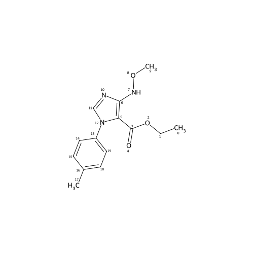 CCOC(=O)c1c(NOC)ncn1-c1ccc(C)cc1